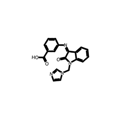 O=C(O)c1cccc(/N=C2\C(=O)N(Cn3ccnc3)c3ccccc32)c1